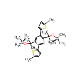 Cc1ccc(-c2cc(C(C)(C)O[Si](C)(C)C)c(-c3ccc(C)s3)cc2C(C)(C)O[Si](C)(C)C)s1